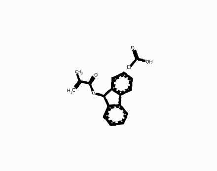 C=C(C)C(=O)OC1c2ccccc2-c2ccccc21.O=C(O)Cl